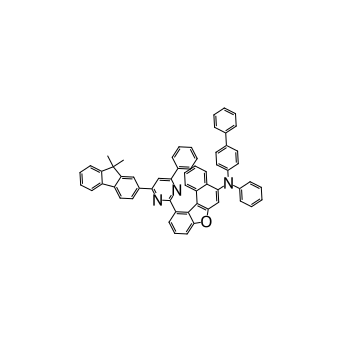 CC1(C)c2ccccc2-c2ccc(-c3cc(-c4ccccc4)nc(-c4cccc5oc6cc(N(c7ccccc7)c7ccc(-c8ccccc8)cc7)c7ccccc7c6c45)n3)cc21